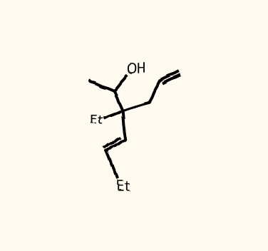 C=CCC(C=CCC)(CC)C(C)O